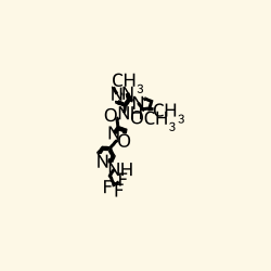 CCn1cc(NC(=O)c2coc(-c3ccnc(NCC(F)(F)F)c3)n2)c(N2CCC(C)(C)C2=O)n1